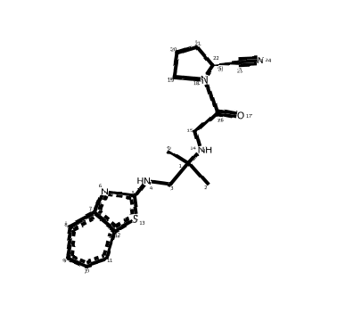 CC(C)(CNc1nc2ccccc2s1)NCC(=O)N1CCC[C@H]1C#N